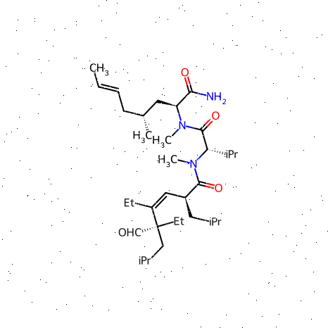 C/C=C/C[C@@H](C)C[C@@H](C(N)=O)N(C)C(=O)[C@H](C(C)C)N(C)C(=O)[C@H](/C=C(/CC)[C@@](C=O)(CC)CC(C)C)CC(C)C